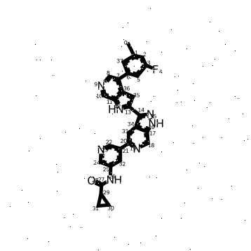 Cc1cc(F)cc(-c2cncc3[nH]c(-c4n[nH]c5cnc(-c6cncc(NC(=O)C7CC7)c6)cc45)cc23)c1